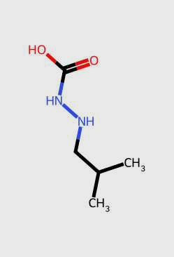 CC(C)CNNC(=O)O